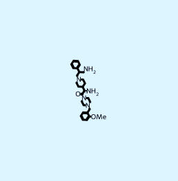 COc1ccccc1CN1CCN(C(=O)[C@H](N)C2CCN(CC(CN)c3ccccc3)CC2)CC1